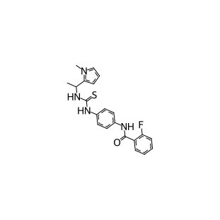 CC(NC(=S)Nc1ccc(NC(=O)c2ccccc2F)cc1)c1cccn1C